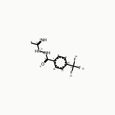 CC(=N)NNC(=O)c1ccc(C(F)(F)F)cc1